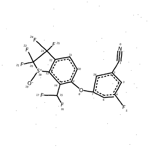 N#Cc1cc(F)cc(Oc2ccc3c(c2C(F)F)[S+]([O-])C(F)(F)C3(F)F)c1